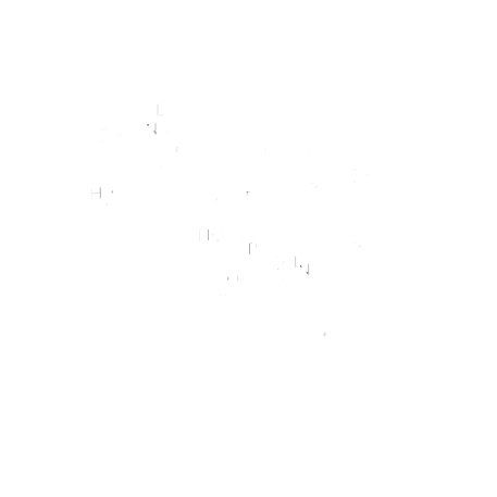 C=C/C(=C\C=C1/COC(=O)C(c2nc3ccccc3s2)=C1P(=O)(O)O)N(CC)CC